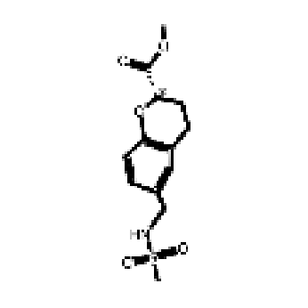 COC(=O)[C@@H]1CCc2cc(CNS(C)(=O)=O)ccc2O1